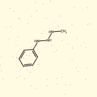 CNNNc1ccccc1